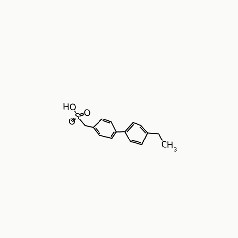 CCc1ccc(-c2ccc(CS(=O)(=O)O)cc2)cc1